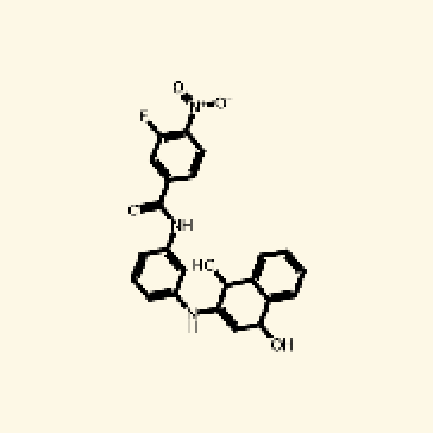 O=C(Nc1cccc(NC2=CC(O)c3ccccc3C2O)c1)c1ccc([N+](=O)[O-])c(F)c1